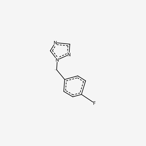 Fc1ccc([CH]n2cncn2)cc1